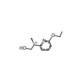 CCOc1cccc([C@H](C)CO)n1